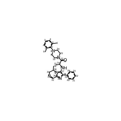 Cc1cccc(C)c1N1CCN(C(=O)C(C)Nc2c(-c3ccccc3)nc3n2C(C)CN=C3)CC1